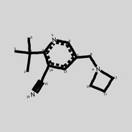 CC(C)(C)c1ncc(CN2CCC2)cc1C#N